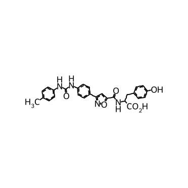 Cc1ccc(NC(=O)Nc2ccc(-c3cc(C(=O)NC(Cc4ccc(O)cc4)C(=O)O)on3)cc2)cc1